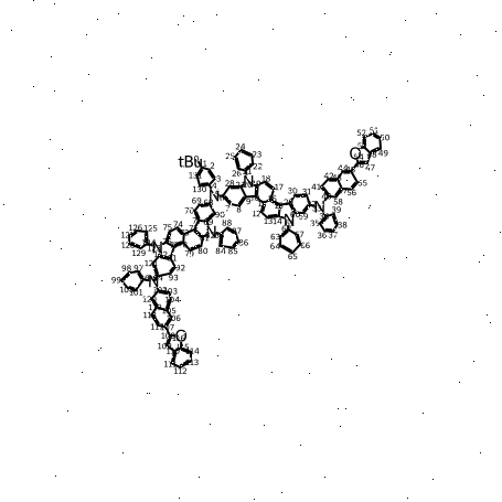 CC(C)(C)c1ccc(N(c2ccc3c4c5ccc6c(c5ccc4n(-c4ccccc4)c3c2)c2ccc(N(c3ccccc3)c3ccc4cc(-c5cc7ccccc7o5)ccc4c3)cc2n6-c2ccccc2)c2ccc3c4c5ccc6c(c5ccc4n(-c4ccccc4)c3c2)c2ccc(N(c3ccccc3)c3ccc4cc(-c5cc7ccccc7o5)ccc4c3)cc2n6-c2ccccc2)cc1